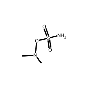 CN(C)OS(N)(=O)=O